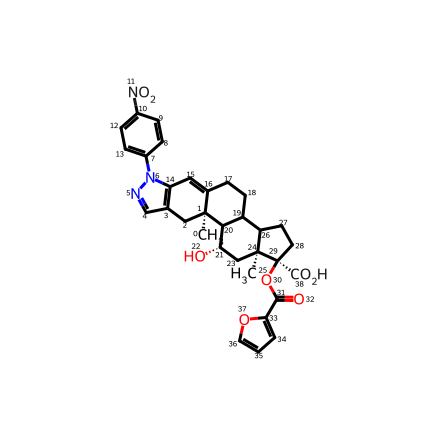 C[C@]12Cc3cnn(-c4ccc([N+](=O)[O-])cc4)c3C=C1CCC1C2[C@@H](O)C[C@@]2(C)C1CC[C@]2(OC(=O)c1ccco1)C(=O)O